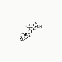 CCNC(=O)[C@H](NC(=O)C(C)(COC)c1ccc2nc(CC(CC)c3ccccc3Cl)[nH]c2c1)C(C)(C)C